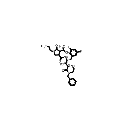 CCCN1CC(C(=O)N[C@@H](Cc2cc(F)cc(F)c2)[C@H](O)[C@@H]2NCCN(Cc3ccccc3)C2=O)C(C(C)C)C1=O